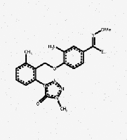 CCC(=NOC)c1ccc(OCc2c(C)cccc2-n2nnn(C)c2=O)c(C)c1